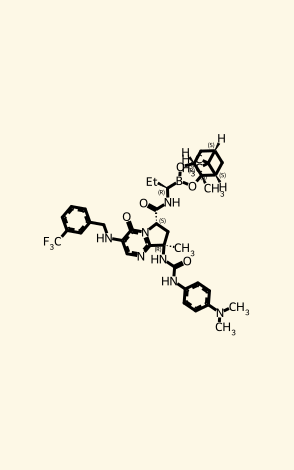 CC[C@H](NC(=O)[C@@H]1C[C@@](C)(NC(=O)Nc2ccc(N(C)C)cc2)c2ncc(NCc3cccc(C(F)(F)F)c3)c(=O)n21)B1O[C@@H]2C[C@@H]3C[C@@H](C3(C)C)[C@]2(C)O1